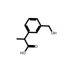 CC(C(=O)O)c1cccc(CO)c1